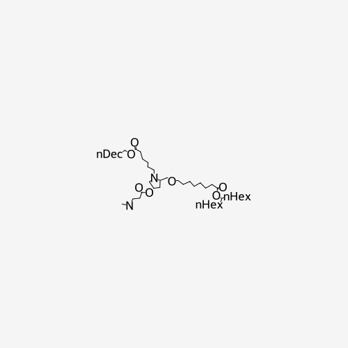 CCCCCCCCCCCOC(=O)CCCCCN1CC(OC(=O)CCN(C)C)CC1COCCCCCCCC(=O)OC(CCCCCC)CCCCCC